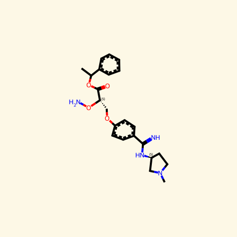 CC(OC(=O)[C@H](COc1ccc(C(=N)N[C@H]2CCN(C)C2)cc1)ON)c1ccccc1